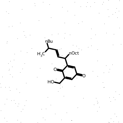 CCCCCCCCC(C=CC(C)CCCC)C1=CC(=O)C=C(CO)C1=O